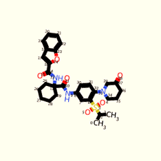 CC(C)S(=O)(=O)c1cc(NC(=O)C2(NC(=O)c3cc4ccccc4o3)CCCCC2)ccc1N1CCCC(=O)C1